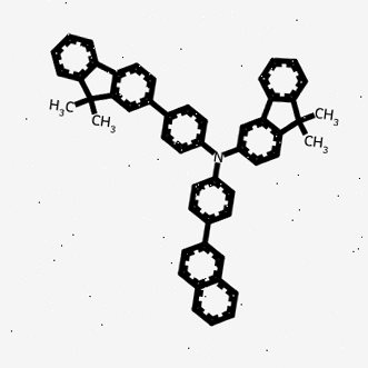 CC1(C)c2ccccc2-c2cc(N(c3ccc(-c4ccc5c(c4)C(C)(C)c4ccccc4-5)cc3)c3ccc(-c4ccc5ccccc5c4)cc3)ccc21